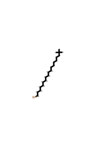 CC(C)(C)CCCCCCCCCCCCCCCCCBr